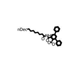 CCCCCCCCCCCCCCCCCC(=O)NC(=O)c1cc(-c2ccccc2)cc(-c2ccccc2)c1I(=O)=O